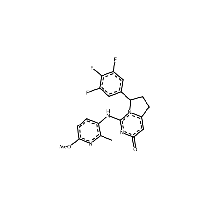 COc1ccc(Nc2nc(=O)cc3n2C(c2cc(F)c(F)c(F)c2)CC3)c(C)n1